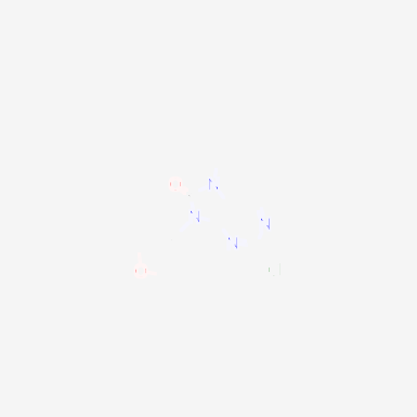 C#CCn1c(=O)n(C2CCOCC2)c2nc(Cl)ncc21